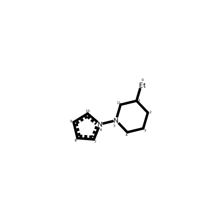 CCC1CCCN(n2cccc2)C1